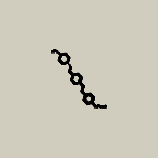 CCCCCc1ccc(CCC2=CCC(CC[C@H]3CC[C@H](CCC)CC3)CC2)cc1